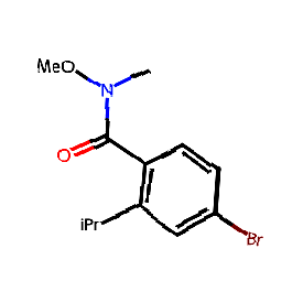 CON(C)C(=O)c1ccc(Br)cc1C(C)C